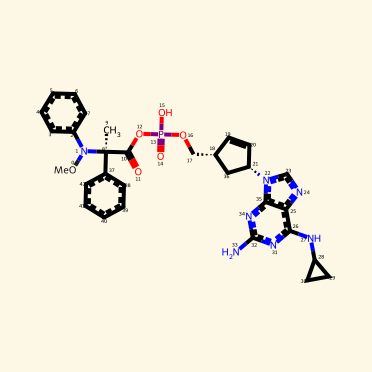 CON(c1ccccc1)[C@@](C)(C(=O)OP(=O)(O)OC[C@@H]1C=C[C@H](n2cnc3c(NC4CC4)nc(N)nc32)C1)c1ccccc1